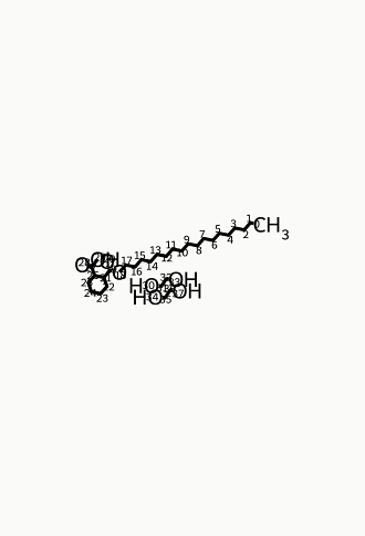 CCCCCCCCCCCCCCCCCCOC(=O)C1CCCCC1C(=O)O.OCCO.OCCO